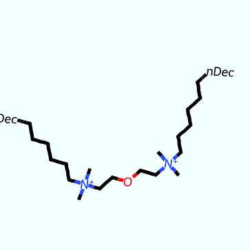 CCCCCCCCCCCCCCCC[N+](C)(C)CCOCC[N+](C)(C)CCCCCCCCCCCCCCCC